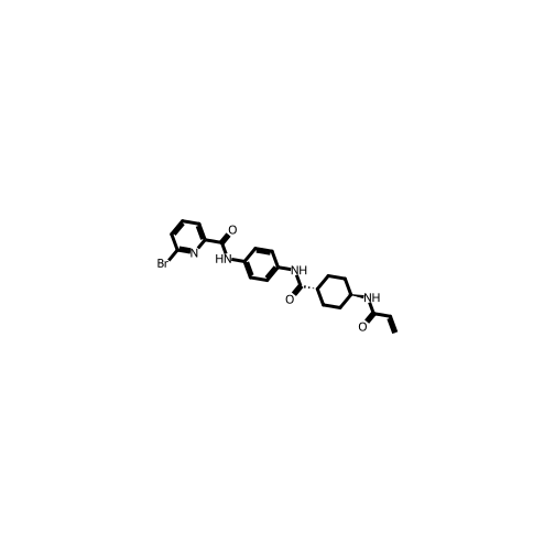 C=CC(=O)N[C@H]1CC[C@H](C(=O)Nc2ccc(NC(=O)c3cccc(Br)n3)cc2)CC1